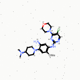 COc1cc(N2CCC(N(C)C)CC2)c(N)cc1Nc1ncc(Cl)c(N2CCOCC2)n1